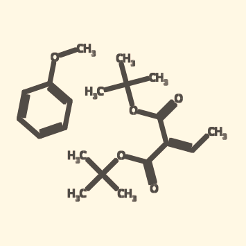 CC=C(C(=O)OC(C)(C)C)C(=O)OC(C)(C)C.COc1ccccc1